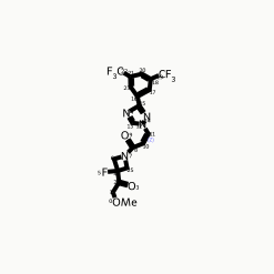 COCC(=O)C1(F)CN(C(=O)/C=C\n2cnc(-c3cc(C(F)(F)F)cc(C(F)(F)F)c3)n2)C1